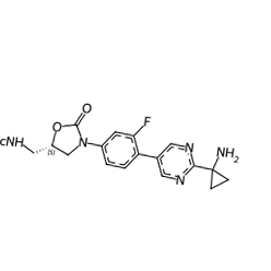 CC(=O)NC[C@H]1CN(c2ccc(-c3cnc(C4(N)CC4)nc3)c(F)c2)C(=O)O1